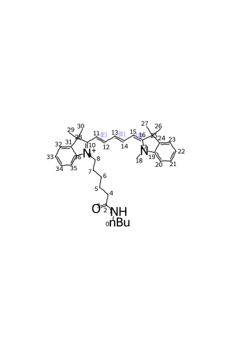 CCCCNC(=O)CCCCC[N+]1=C(/C=C/C=C/C=C2\N(C)c3ccccc3C2(C)C)C(C)(C)c2ccccc21